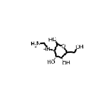 NCN[C@H]1C(O)OC(CO)[C@H](O)[C@@H]1O